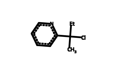 CCC(C)(Cl)c1ccccn1